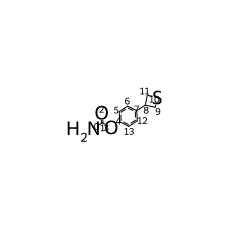 NC(=O)Oc1ccc(C2CSC2)cc1